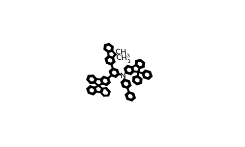 CC1(C)c2ccccc2-c2ccc(-c3cc(-c4ccc5c(c4)-c4ccccc4C54C5=C(CCC=C5)c5ccccc54)cc(N(c4ccc(-c5ccccc5)cc4)c4ccc5c(c4)C(c4ccccc4)(c4ccccc4)c4ccccc4-5)c3)cc21